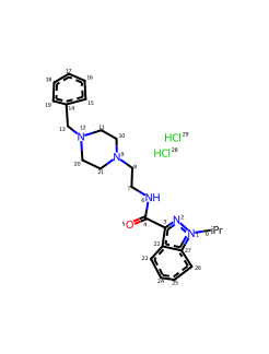 CC(C)n1nc(C(=O)NCCN2CCN(Cc3ccccc3)CC2)c2ccccc21.Cl.Cl